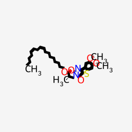 CCCCC/C=C\C/C=C\CCCCCCCCOC(=O)[C@@H](C)Cn1cnc2c(sc3cc(OC)c(OC)cc32)c1=O